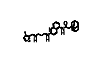 Cc1ccsc1CNCCCNc1ccc2c(NC(=O)CC34CC5CC(CC(C5)C3)C4)cccc2n1